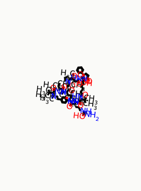 CC[C@H](C)C([C@@H](CC(=O)N1CCC[C@H]1[C@H](OC)[C@@H](C)C(=O)N[C@@H](Cc1ccccc1)C(=O)O)OC)N(C)C(=O)[C@@H](NC(=O)C(C(C)C)N(C)CCc1ccc(NC(=O)[C@H](CCCN[C@@H](N)O)NC(=O)[C@@H](NC(=O)CCCCCN2C(=O)C=CC2=O)C(C)C)cc1)C(C)C